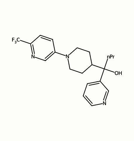 CCCC(O)(c1cccnc1)C1CCN(c2ccc(C(F)(F)F)nc2)CC1